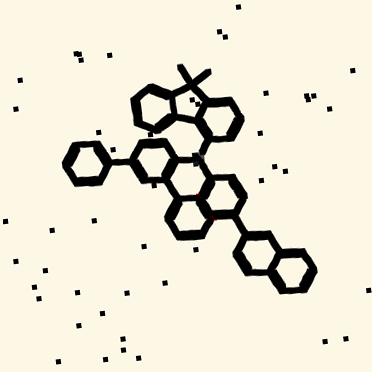 CC1(C)c2ccccc2-c2c(N(c3ccc(-c4ccc5ccccc5c4)cc3)c3ccc(-c4ccccc4)cc3-c3ccccc3)cccc21